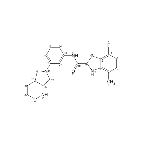 Cc1ccc(F)c2c1NC(C(=O)Nc1cccc(N3CC4CCCNC4C3)c1)C2